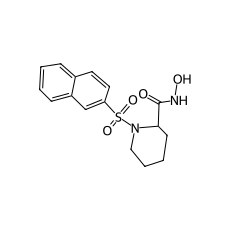 O=C(NO)C1CCCCN1S(=O)(=O)c1ccc2ccccc2c1